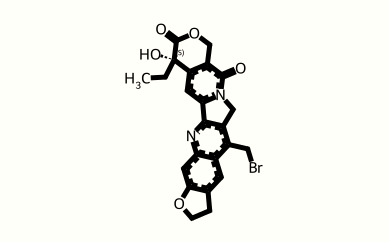 CC[C@@]1(O)C(=O)OCc2c1cc1n(c2=O)Cc2c-1nc1cc3c(cc1c2CBr)CCO3